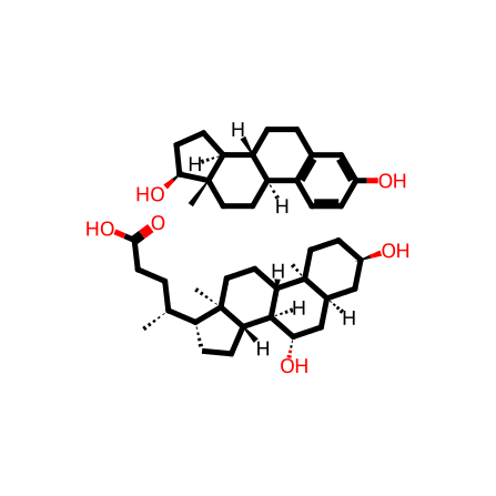 C[C@H](CCC(=O)O)[C@H]1CC[C@H]2[C@@H]3[C@@H](O)C[C@@H]4C[C@H](O)CC[C@]4(C)[C@H]3CC[C@]12C.C[C@]12CC[C@@H]3c4ccc(O)cc4CC[C@H]3[C@@H]1CC[C@@H]2O